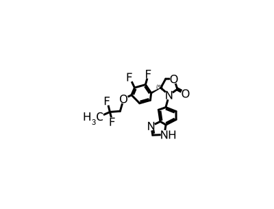 CC(F)(F)COc1ccc([C@H]2COC(=O)N2c2ccc3[nH]cnc3c2)c(F)c1F